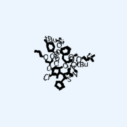 C=CCOCC(COS(=O)(=O)c1ccc(C)cc1)Oc1c(Cl)c(C)c(-c2c(C3=CCCC3)sc3ncnc(OC(Cc4cc(O[Si](C)(C)C(C)(C)C)ccc4OCOCC[Si](C)(C)C)C(=O)OC(C)(C)C)c23)c(C)c1Cl